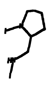 INCC1CCCN1I